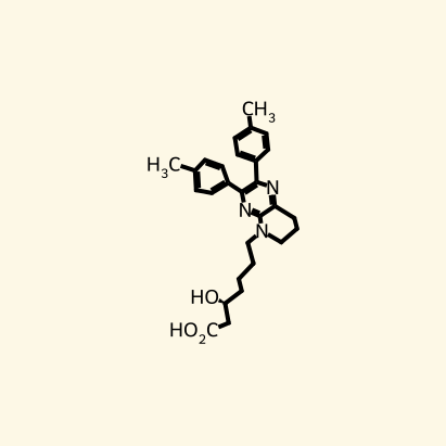 Cc1ccc(-c2nc3c(nc2-c2ccc(C)cc2)N(CCCC[C@H](O)CC(=O)O)CCC3)cc1